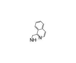 [NH]Cc1nccc2ccccc12